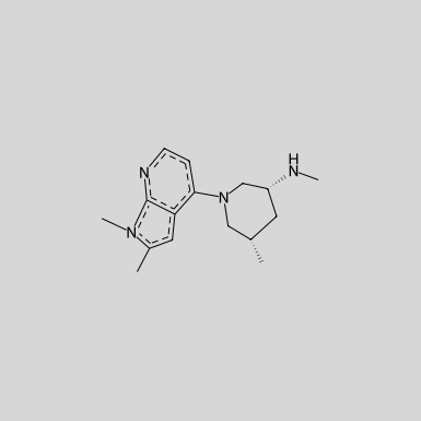 CN[C@@H]1C[C@H](C)CN(c2ccnc3c2cc(C)n3C)C1